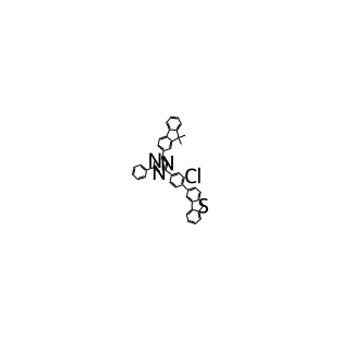 CC1(C)c2ccccc2-c2ccc(-c3nc(-c4ccccc4)nc(-c4ccc(-c5ccc6sc7ccccc7c6c5)c(Cl)c4)n3)cc21